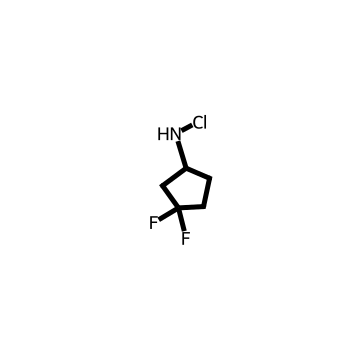 FC1(F)CCC(NCl)C1